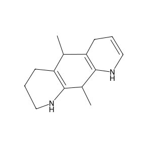 CC1C2=C(NC=CC2)C(C)C2=C1CCCN2